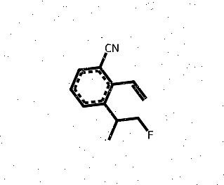 [CH2]C(CF)c1cccc(C#N)c1C=C